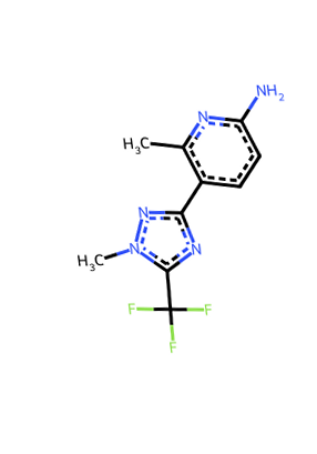 Cc1nc(N)ccc1-c1nc(C(F)(F)F)n(C)n1